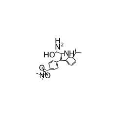 CC(C)c1cccc2c(-c3ccc(S(=O)(=O)N(C)C)cc3)c(C(N)O)[nH]c12